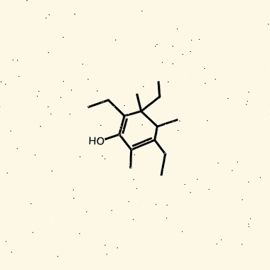 CCC1=C(C)C(O)=C(CC)C(C)(CC)C1C